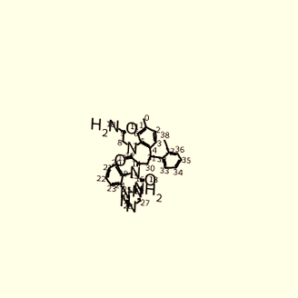 Cc1ccc2c(c1)N(CC(N)=O)C(=O)C(N(C(N)=O)c1ccccc1-n1ncnn1)CC2c1ccccc1C